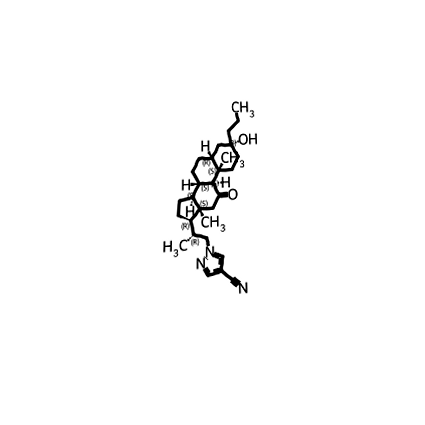 CCC[C@@]1(O)CC[C@@]2(C)[C@H](CC[C@H]3[C@@H]4CC[C@H]([C@@H](C)Cn5cc(C#N)cn5)[C@@]4(C)CC(=O)[C@@H]32)C1